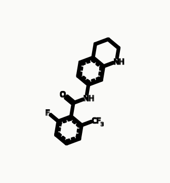 O=C(Nc1ccc2c(c1)NCCC2)c1c(F)cccc1C(F)(F)F